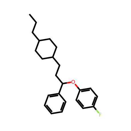 CCCC1CCC(CCC(Oc2ccc(F)cc2)c2ccccc2)CC1